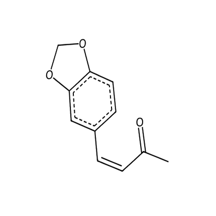 CC(=O)/C=C\c1ccc2c(c1)OCO2